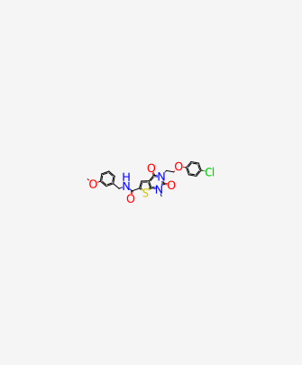 COc1cccc(CNC(=O)c2cc3c(=O)n(CCOc4ccc(Cl)cc4)c(=O)n(C)c3s2)c1